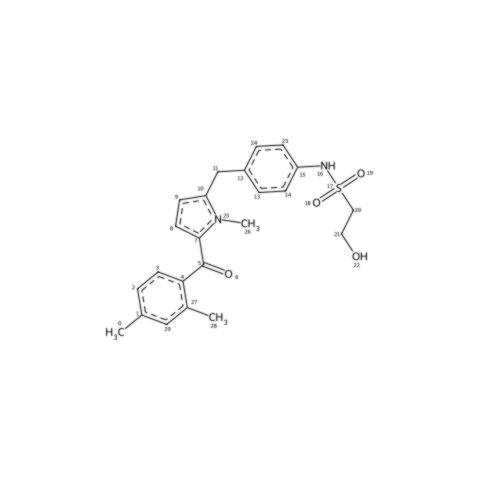 Cc1ccc(C(=O)c2ccc(Cc3ccc(NS(=O)(=O)CCO)cc3)n2C)c(C)c1